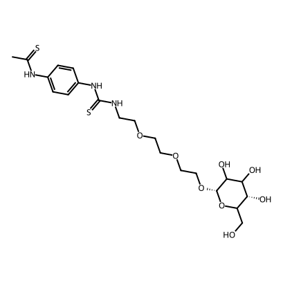 CC(=S)Nc1ccc(NC(=S)NCCOCCOCCO[C@H]2OC(CO)[C@@H](O)C(O)C2O)cc1